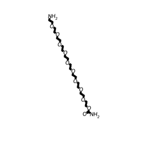 NCCOCCOCCOCCOCCOCCOCCOCCOCCOCCOC(N)=O